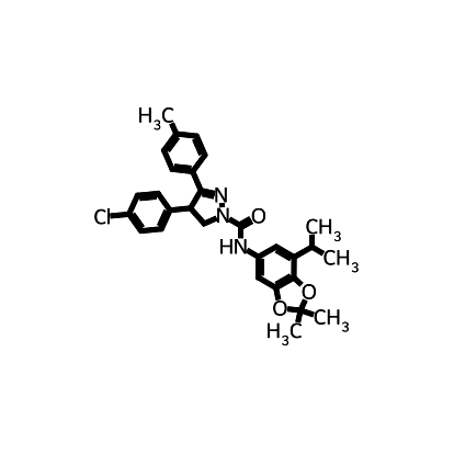 Cc1ccc(C2=NN(C(=O)Nc3cc4c(c(C(C)C)c3)OC(C)(C)O4)CC2c2ccc(Cl)cc2)cc1